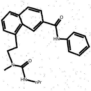 CCCNC(=O)N(C)CCc1cccc2ccc(C(=O)Nc3ccccc3)cc12